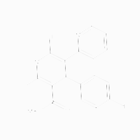 COC(=O)C1=C(C)NC(C)=C(c2ccccn2)C1c1ccc(I)cc1